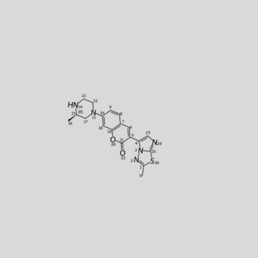 Cc1nn2c(-c3cc4ccc(N5CCN[C@H](C)C5)cc4oc3=O)cnc2s1